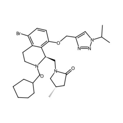 CC(C)n1cc(COc2ccc(Br)c3c2[C@@H](CN2C[C@@H](C)CC2=O)N(C(=O)C2CCCCC2)CC3)nn1